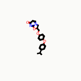 CC(C)c1ccc(Oc2ccc(OCC3Cn4ccc(=O)nc4O3)cc2)cc1